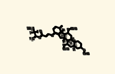 C[C@@H]1CCC(OCCC(=O)OC(C(F)(F)F)C(F)(F)S(=O)(=O)O)=C2C[C@H]3[C@@H]4C(OC=O)C[C@@H]5CC(OC=O)CC[C@]5(C)[C@H]4CC(OC=O)[C@]3(C)[C@H]21